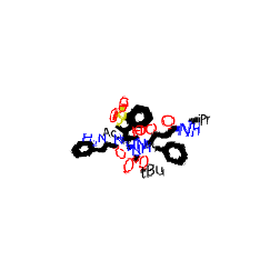 CC(=O)N(C(=O)[C@@H](N)Cc1ccccc1)[C@@](CNC(=O)OC(C)(C)C)(C(=O)N[C@@H](CC1CCCCC1)[C@@H](O)CC(=O)NCC(C)C)C1CS(=O)(=O)c2ccccc21